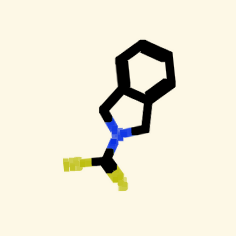 S=C(S)N1Cc2ccccc2C1